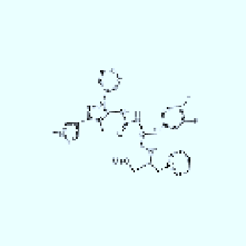 COCC(C[n+]1ccccc1)N1C[C@@H](NC(=O)Nc2c(C)c(-c3cnn(C)c3)nn2-c2ccccc2)[C@H](c2ccc(F)c(F)c2)C1